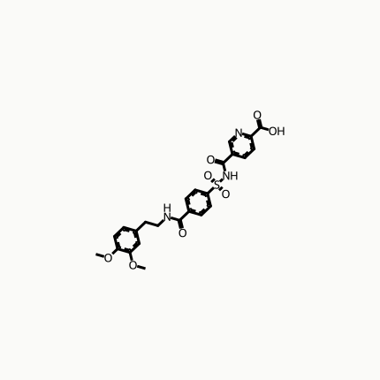 COc1ccc(CCNC(=O)c2ccc(S(=O)(=O)NC(=O)c3ccc(C(=O)O)nc3)cc2)cc1OC